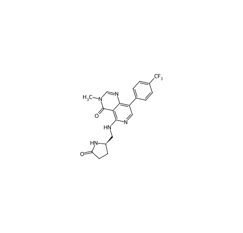 Cn1cnc2c(-c3ccc(C(F)(F)F)cc3)cnc(NC[C@H]3CCC(=O)N3)c2c1=O